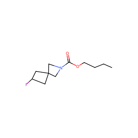 CCCCOC(=O)N1CC2(CC(I)C2)C1